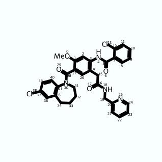 COc1cc(NC(=O)c2ccccc2Cl)c(CC(=O)NCc2ccccn2)cc1C(=O)N1CCCCc2cc(Cl)ccc21